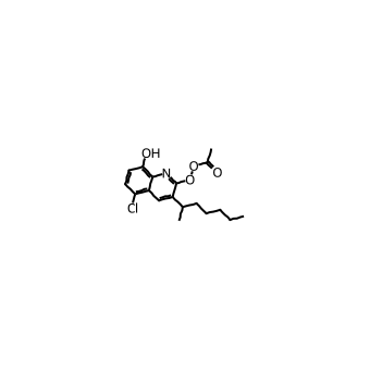 CCCCCC(C)c1cc2c(Cl)ccc(O)c2nc1OOC(C)=O